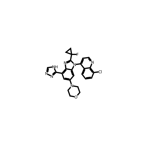 FC1(c2nc3c(-c4nnc[nH]4)cc(N4CCOCC4)cc3n2-c2ccnc3c(Cl)cccc23)CC1